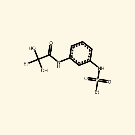 CCC(O)(O)C(=O)Nc1cccc(NS(=O)(=O)CC)c1